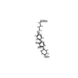 CCCC1CCC(c2ccc(-c3ccc(OCCCCOC)cc3)c(F)c2F)CC1